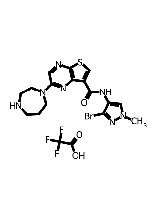 Cn1cc(NC(=O)c2csc3ncc(N4CCCNCC4)nc23)c(Br)n1.O=C(O)C(F)(F)F